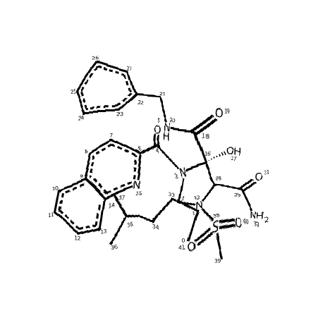 CCCN(C(=O)c1ccc2ccccc2n1)[C@@](O)(C(=O)NCc1ccccc1)C(C(N)=O)N(CCC(C)C)S(C)(=O)=O